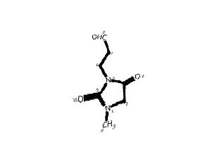 CN1CC(=O)N(CCC=O)C1=O